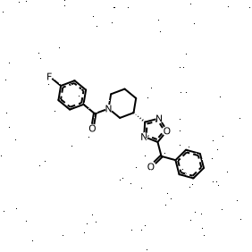 O=C(c1ccccc1)c1nc([C@H]2CCCN(C(=O)c3ccc(F)cc3)C2)no1